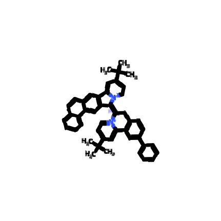 CC(C)(C)c1cc[n+]2c(c1)-c1cc(-c3ccccc3)ccc1C/C2=C1/c2cc3c(ccc4ccccc43)cc2-c2cc(C(C)(C)C)cc[n+]21